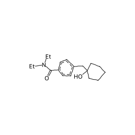 CCN(CC)C(=O)c1ccc(CC2(O)CCCCC2)cc1